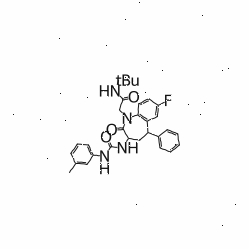 Cc1cccc(NC(=O)NC2CC(c3ccccc3)c3cc(F)ccc3N(CC(=O)NC(C)(C)C)C2=O)c1